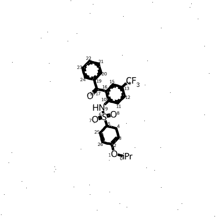 CC(C)OC1=CCC(S(=O)(=O)Nc2ccc(C(F)(F)F)cc2C(=O)c2ccccc2)C=C1